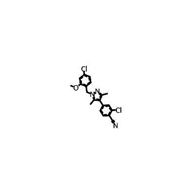 COc1cc(Cl)ccc1Cn1nc(C)c(-c2ccc(C#N)c(Cl)c2)c1C